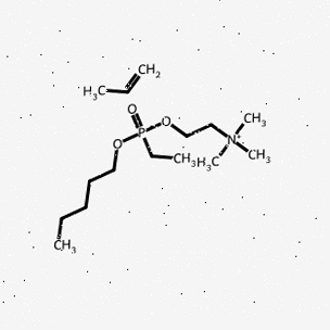 C=CC.CCCCCOP(=O)(CC)OCC[N+](C)(C)C